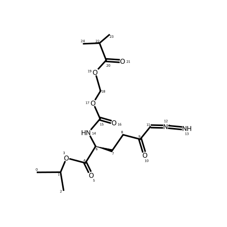 CC(C)OC(=O)[C@H](CCC(=O)C=[N+]=N)NC(=O)OCOC(=O)C(C)C